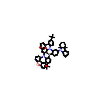 Cc1cc2c3c(c1)N(c1cccc4oc5ccccc5c14)c1cc(C(C)(C)C)ccc1B3c1ccc(N3c4ccccc4C4(C)CCCCC34C)cc1N2c1ccc(C(C)(C)C)cc1-c1ccccc1